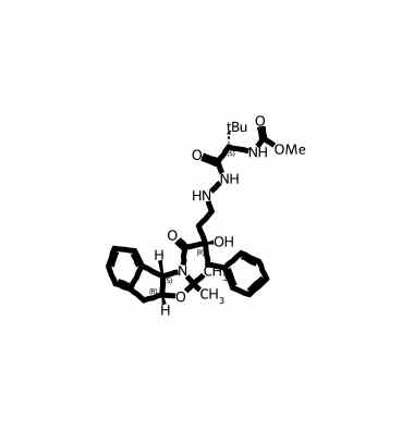 COC(=O)N[C@H](C(=O)NNCC[C@](O)(Cc1ccccc1)C(=O)N1[C@H]2c3ccccc3C[C@H]2OC1(C)C)C(C)(C)C